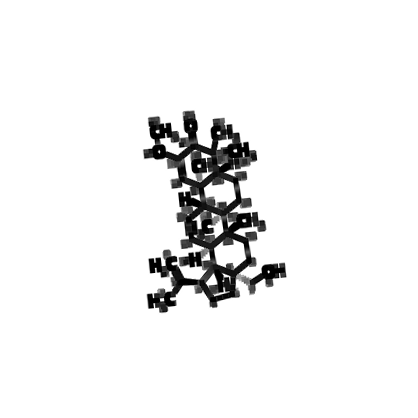 C=C(C)[C@@H]1CC[C@]2(CO)CC[C@]3(C)[C@H](CC[C@@H]4[C@@]5(C)C=C(OC)C(=O)C(C)(C)[C@@H]5CC[C@]43C)[C@@H]12